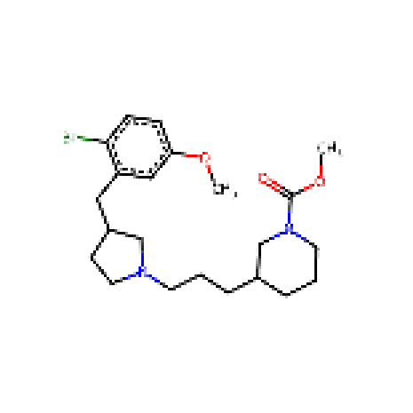 COC(=O)N1CCCC(CCCN2CCC(Cc3cc(OC)ccc3Br)C2)C1